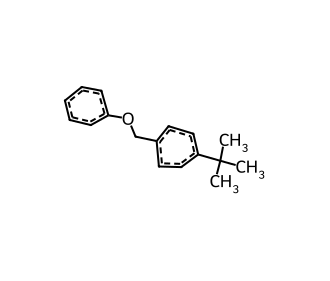 CC(C)(C)c1ccc(COc2ccccc2)cc1